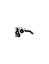 CC#CCCCCOc1cccc(N(C)C(=O)c2ccc3ncccc3c2)c1F